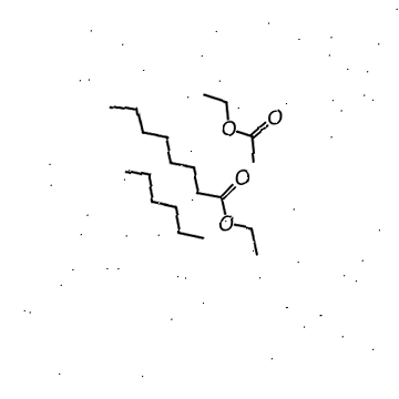 CCCCCC.CCCCCCCC(=O)OCC.CCOC(C)=O